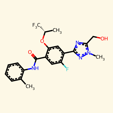 Cc1ccccc1NC(=O)c1cc(F)c(-c2nc(CO)n(C)n2)cc1O[C@@H](C)C(F)(F)F